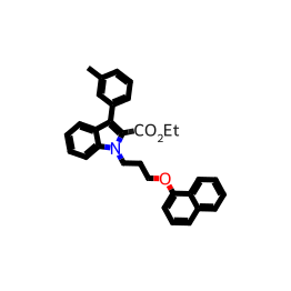 CCOC(=O)c1c(-c2cccc(C)c2)c2ccccc2n1CCCOc1cccc2ccccc12